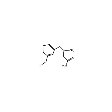 CCc1cccc(CN(C)CC(N)=O)c1